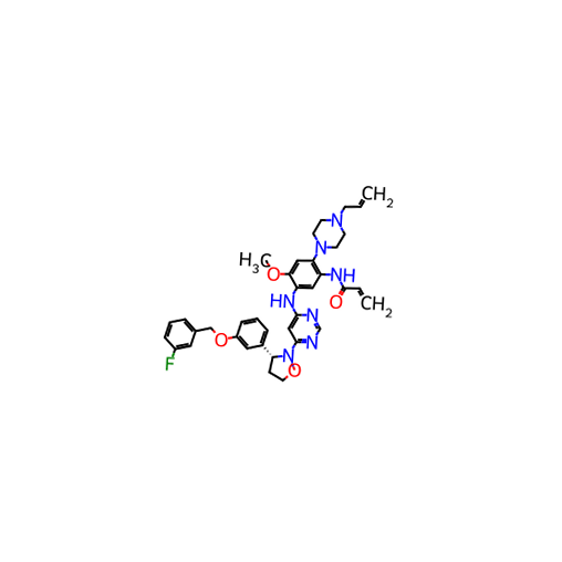 C=CCN1CCN(c2cc(OC)c(Nc3cc(N4OCC[C@@H]4c4cccc(OCc5cccc(F)c5)c4)ncn3)cc2NC(=O)C=C)CC1